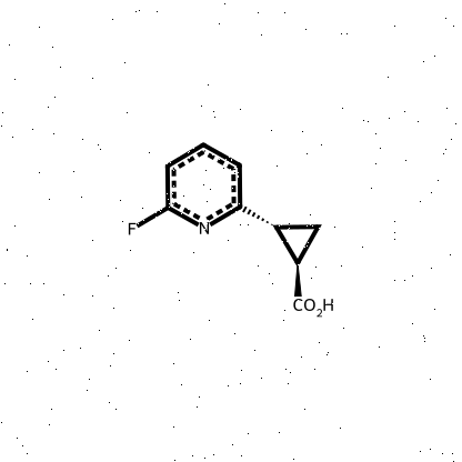 O=C(O)[C@@H]1C[C@H]1c1cccc(F)n1